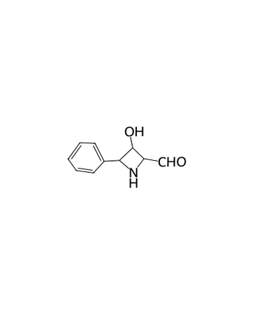 O=CC1NC(c2ccccc2)C1O